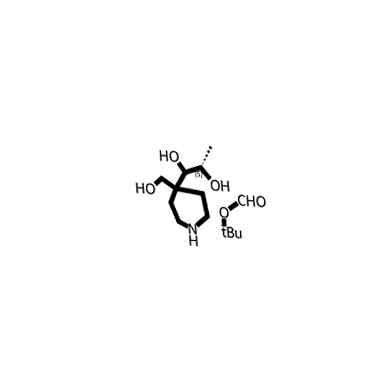 CC(C)(C)OC=O.C[C@H](O)C(O)C1(CO)CCNCC1